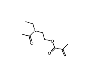 C=C(C)C(=O)OCCN(CC)C(C)=O